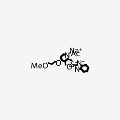 CC(C)=O.COCCCOc1ccnc(C[S+]([O-])c2nc3ccccc3[n-]2)c1C.[Na+]